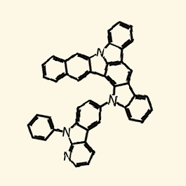 c1ccc(-n2c3ccc(-n4c5ccccc5c5cc6c7ccccc7n7c8cc9ccccc9cc8c(c54)c67)cc3c3cccnc32)cc1